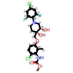 COC(=O)Nc1c(Cl)ccc(OC[C@]2(O)CCN(c3c(F)cc(Cl)cc3F)C[C@H]2O)c1C